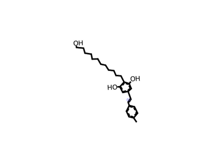 Cc1ccc(/C=C/c2cc(O)c(CCCCCCCCCCCCO)c(O)c2)cc1